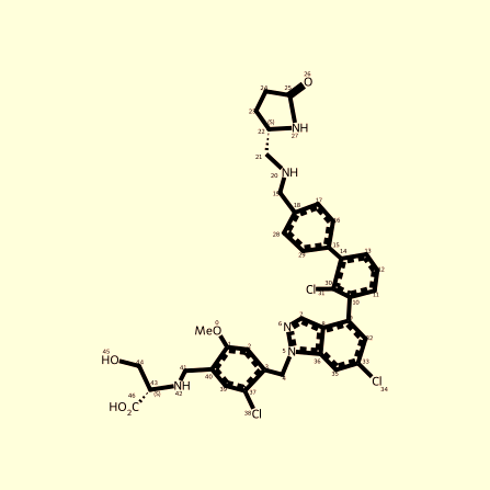 COc1cc(Cn2ncc3c(-c4cccc(-c5ccc(CNC[C@@H]6CCC(=O)N6)cc5)c4Cl)cc(Cl)cc32)c(Cl)cc1CN[C@@H](CO)C(=O)O